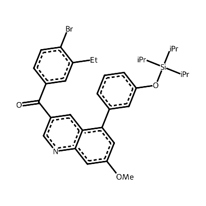 CCc1cc(C(=O)c2cnc3cc(OC)cc(-c4cccc(O[Si](C(C)C)(C(C)C)C(C)C)c4)c3c2)ccc1Br